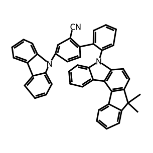 CC1(C)c2ccccc2-c2c1ccc1c2c2ccccc2n1-c1ccccc1-c1ccc(-n2c3ccccc3c3ccccc32)cc1C#N